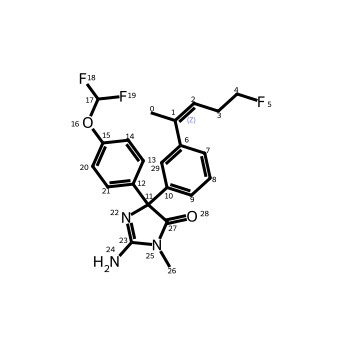 C/C(=C/CCF)c1cccc(C2(c3ccc(OC(F)F)cc3)N=C(N)N(C)C2=O)c1